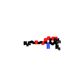 CCCOCCOC(=O)NC(CC(C)C)C(=O)O